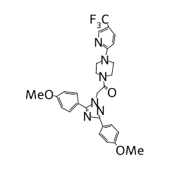 COc1ccc(-c2nc(-c3ccc(OC)cc3)n(CC(=O)N3CCN(c4ccc(C(F)(F)F)cn4)CC3)n2)cc1